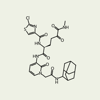 CNC(=O)C(=O)CC[C@H](NC(=O)c1csc(Cl)n1)C(=O)Nc1cccn(CC(=O)NC2C3CC4CC(C3)CC2C4)c1=O